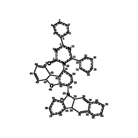 O=c1nc(-c2ccccc2)nc(-c2ccccc2)n1-c1ccc(N2c3ccccc3C3C=c4ccccc4=CC32)c2c1C1C=CC=CC1O2